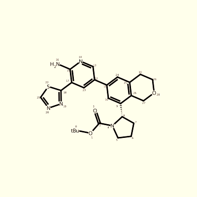 CC(C)(C)OC(=O)N1CCC[C@H]1c1cc(-c2cnc(N)c(-c3nncs3)c2)cc2c1COCC2